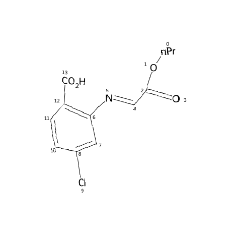 CCCOC(=O)C=Nc1cc(Cl)ccc1C(=O)O